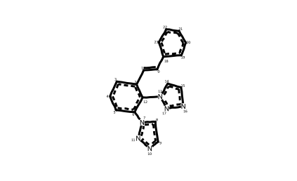 C(=Cc1cccc(-n2ccnn2)c1-n1ccnn1)c1ccccc1